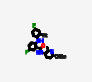 CCc1cc(F)ccc1Nc1ccc(F)cc1C(=O)Nc1ccc(OC)nc1C